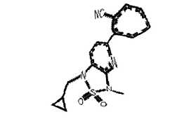 CN1c2nc(-c3ccccc3C#N)ccc2N(CC2CC2)S1(=O)=O